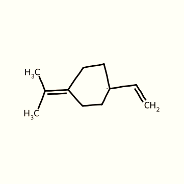 C=C[C]1CCC(=C(C)C)CC1